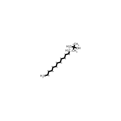 CC(C)(C)O.CCCCCCCCCCCCN